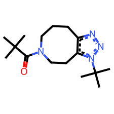 CC(C)(C)C(=O)N1CCCc2nnn(C(C)(C)C)c2CC1